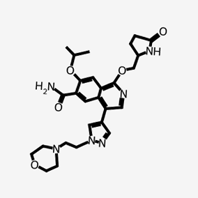 CC(C)Oc1cc2c(OCC3CCC(=O)N3)ncc(-c3cnn(CCN4CCOCC4)c3)c2cc1C(N)=O